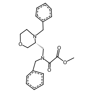 COC(=O)C(=O)N(Cc1ccccc1)C[C@@H]1COCCN1Cc1ccccc1